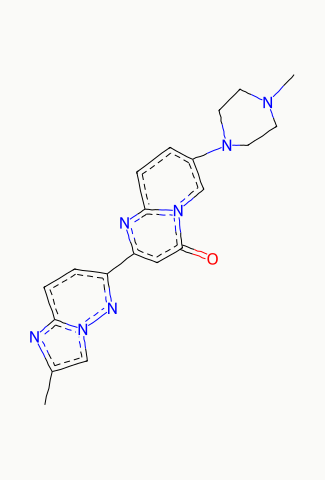 Cc1cn2nc(-c3cc(=O)n4cc(N5CCN(C)CC5)ccc4n3)ccc2n1